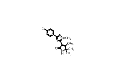 CC(=O)OC1=C(c2nc(-c3ccc(Cl)cc3)nn2C)C(=O)NC1(C)C